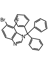 Fc1c(Br)ccc2ncn(C(c3ccccc3)(c3ccccc3)c3ccccc3)c12